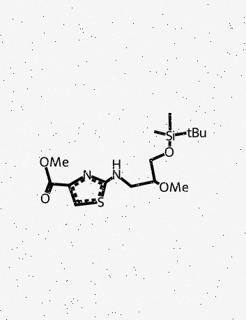 COC(=O)c1csc(NCC(CO[Si](C)(C)C(C)(C)C)OC)n1